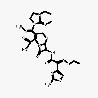 CCN1CCN(C(=NN)C2=C(C(=O)O)N3C(=O)C(NC(=O)C(=NOCF)c4nsc(N)n4)C3SC2)C1=NC